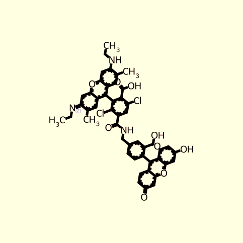 CC/N=c1/cc2oc3cc(NCC)c(C)cc3c(-c3c(Cl)c(C(=O)NCc4ccc(-c5c6ccc(=O)cc-6oc6cc(O)ccc56)c(C(=O)O)c4)cc(Cl)c3C(=O)O)c-2cc1C